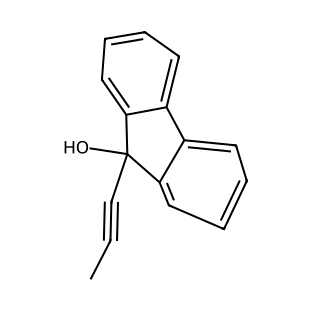 CC#CC1(O)c2ccccc2-c2ccccc21